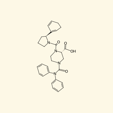 O=C(O)[C@@H]1CN(C(=O)N(c2ccccc2)c2ccccc2)CCN1C(=O)N1CCC[C@H]1C1=CCCC=C1